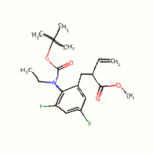 C=CC(Cc1cc(F)cc(F)c1N(CC)C(=O)OC(C)(C)C)C(=O)OC